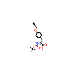 C#CCOc1ccc(C[C@H](NC(=O)OC(C)(C)C)C(=O)OC)cc1